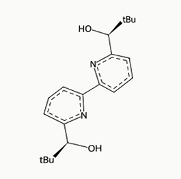 CC(C)(C)[C@H](O)c1cccc(-c2cccc([C@@H](O)C(C)(C)C)n2)n1